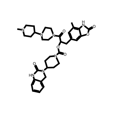 Cc1cc(CC(OC(=O)N2CCC(N3Cc4ccccc4NC3=O)CC2)C(=O)N2CCN(C3CCN(C)CC3)CC2)cc2oc(=O)[nH]c12